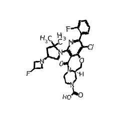 CC1(C)C[C@H](N2CC(F)C2)CN1c1nc(-c2ccccc2F)c(Cl)c2c1C(=O)N1CCN(C(=O)O)C[C@@H]1CO2